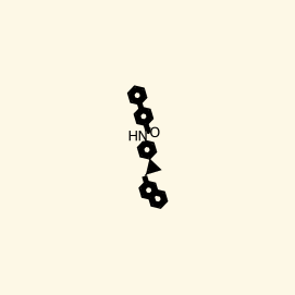 O=C(Nc1ccc([C@@H]2C[C@@H]2Cc2ccc3ccccc3c2)cc1)c1ccc(-c2ccccc2)cc1